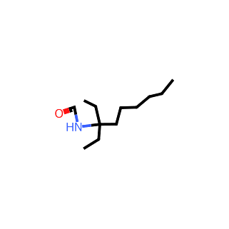 CCCCCCC(CC)(CC)NC=O